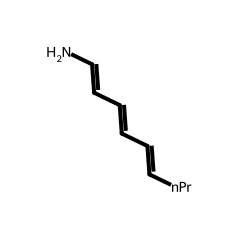 CCCC=CC=CC=CN